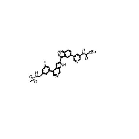 CC(C)(C)C(=O)Nc1cncc(-c2ccc3[nH]nc(-c4cc5c(-c6cc(F)cc(CNS(C)(=O)=O)c6)cncc5[nH]4)c3c2)c1